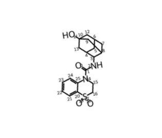 O=C(NC1C2CC3CC1CC(O)(C3)C2)N1CCS(=O)(=O)c2ccccc21